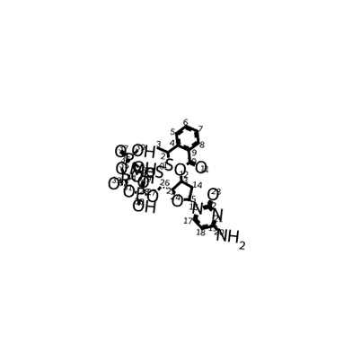 CSSC(C)c1ccccc1C(=O)OC1C[C@H](n2ccc(N)nc2=O)O[C@@H]1COP(=O)(O)OP(=O)(O)OP(=O)(O)O